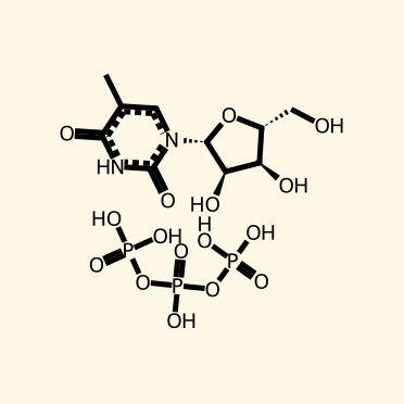 Cc1cn([C@@H]2O[C@H](CO)[C@@H](O)[C@H]2O)c(=O)[nH]c1=O.O=P(O)(O)OP(=O)(O)OP(=O)(O)O